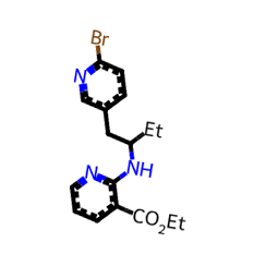 CCOC(=O)c1cccnc1NC(CC)Cc1ccc(Br)nc1